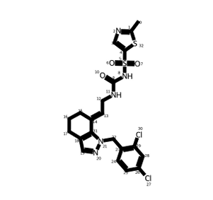 Cc1ncc(S(=O)(=O)NC(=O)NCC=C2CCCc3cnn(Cc4ccc(Cl)cc4Cl)c32)s1